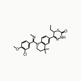 CCC1SC(=O)NN=C1c1ccc2c(c1)C(C)(C)CCN2C(=NC)c1ccc(OC)c(Cl)c1